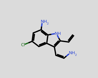 C=Cc1[nH]c2c(N)cc(Cl)cc2c1/C=C\N